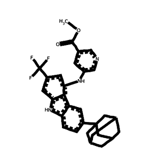 COC(=O)c1cncc(Nc2cc(C(F)(F)F)cc3[nH]c4ccc(C56CC7CC(CC(C7)C5)C6)cc4c23)c1